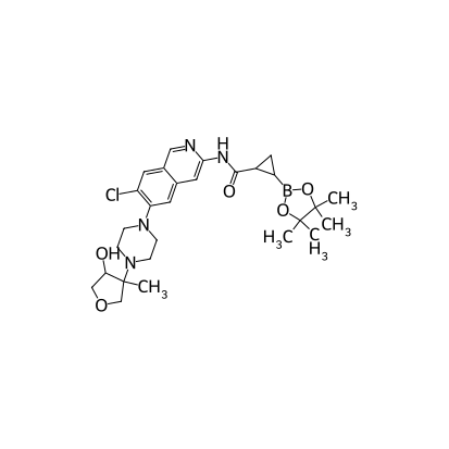 CC1(N2CCN(c3cc4cc(NC(=O)C5CC5B5OC(C)(C)C(C)(C)O5)ncc4cc3Cl)CC2)COCC1O